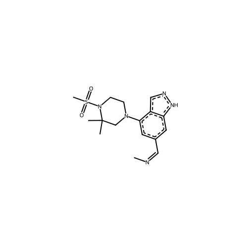 C/N=C\c1cc(N2CCN(S(C)(=O)=O)C(C)(C)C2)c2cn[nH]c2c1